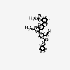 CSc1nc2c(c(N3CCN(C(=O)OCc4ccccc4)C(CC#N)C3)n1)CCC(c1c(F)cccc1OC(C)=O)O2